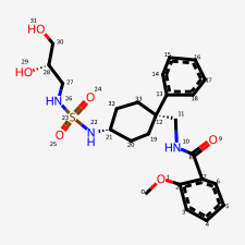 COc1ccccc1C(=O)NC[C@]1(c2ccccc2)CC[C@H](NS(=O)(=O)NC[C@H](O)CO)CC1